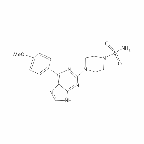 COc1ccc(-c2nc(N3CCN(S(N)(=O)=O)CC3)nc3[nH]cnc23)cc1